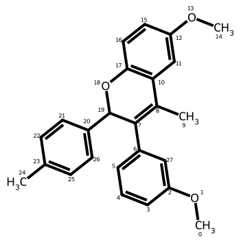 COc1cccc(C2=C(C)c3cc(OC)ccc3OC2c2ccc(C)cc2)c1